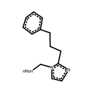 CCCCCCCCCCn1ccnc1CCCc1ccccc1